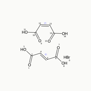 Br.O=C(O)/C=C/C(=O)O.O=C(O)/C=C\C(=O)O